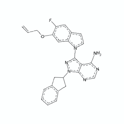 C=CCOc1cc2c(ccn2-c2nn(C3Cc4ccccc4C3)c3ncnc(N)c23)cc1F